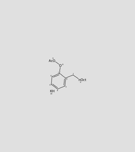 CCCCCCCCCc1ccccc1OOC(C)=O.[KH]